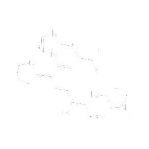 Cn1ccc2nc(C(=O)CCC(c3cc(C(F)F)nc4ncnn34)C3CCCN3)ccc21